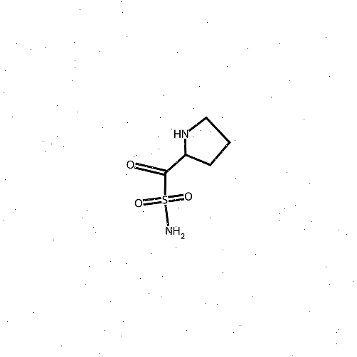 NS(=O)(=O)C(=O)C1CCCN1